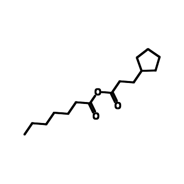 CCCCCCC(=O)OC(=O)CCC1CCCC1